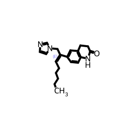 CCCCC/C=C(/Cn1ccnc1)c1ccc2c(c1)CCC(=O)N2